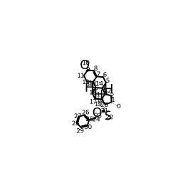 C[C@H]1C[C@H]2[C@@H]3CCC4=CC(=O)CC[C@]4(C)[C@H]3CC[C@]2(C)[C@H]1C(=S)OCc1ccccc1